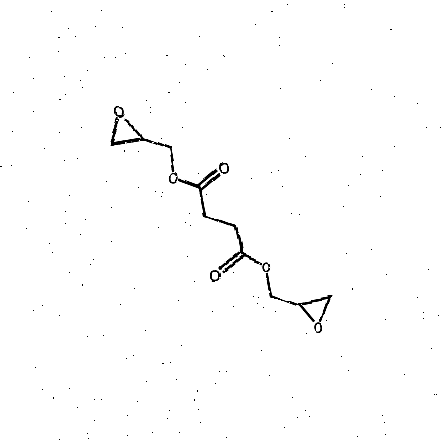 O=C(CCC(=O)OCC1CO1)OCC1CO1